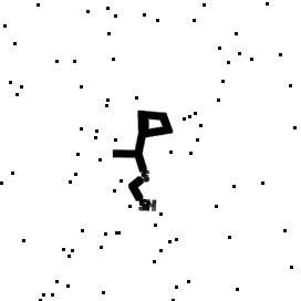 CC(SCS)C1=CCC1